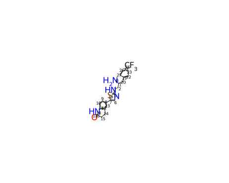 N[C@H](CNc1ncc(-c2ccc3c(c2)CCC(=O)N3)s1)CC1=CCC(C(F)(F)F)C=C1